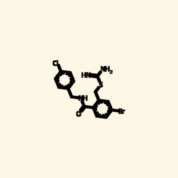 N=C(N)SCc1cc(Br)ccc1C(=O)NCc1ccc(Cl)cc1